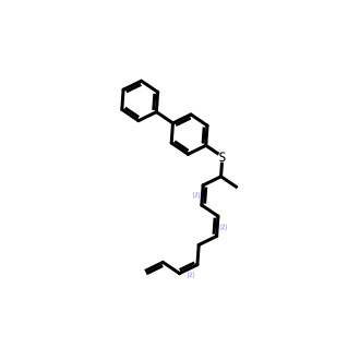 C=C/C=C\C/C=C\C=C/C(C)Sc1ccc(-c2ccccc2)cc1